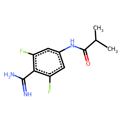 CC(C)C(=O)Nc1cc(F)c(C(=N)N)c(F)c1